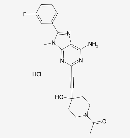 CC(=O)N1CCC(O)(C#Cc2nc(N)c3nc(-c4cccc(F)c4)n(C)c3n2)CC1.Cl